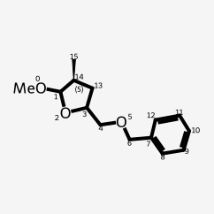 COC1OC(COCc2ccccc2)C[C@@H]1C